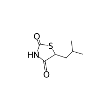 CC(C)CC1SC(=O)NC1=O